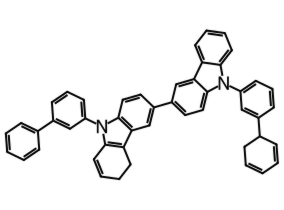 C1=CCC(c2cccc(-n3c4ccccc4c4cc(-c5ccc6c(c5)c5c(n6-c6cccc(-c7ccccc7)c6)C=CCC5)ccc43)c2)C=C1